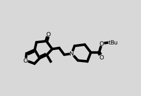 CC1=C2COC=C2CC(=O)C1CCN1CCC(C(=O)OC(C)(C)C)CC1